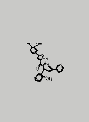 COc1ccc(-c2cc(C(=O)N3N=C(c4cccnc4)CC3c3ccccc3O)[nH]n2)cc1OC